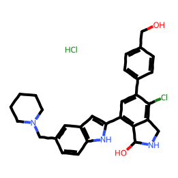 Cl.OCc1ccc(-c2cc(-c3cc4cc(CN5CCCCC5)ccc4[nH]3)c3c(c2Cl)CNC3O)cc1